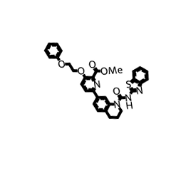 COC(=O)c1nc(-c2ccc3c(c2)N(C(=O)Nc2nc4ccccc4s2)CCC3)ccc1OCCOc1ccccc1